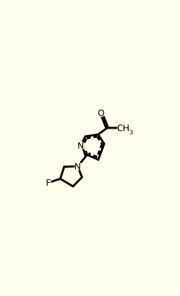 CC(=O)c1ccc(N2CCC(F)C2)nc1